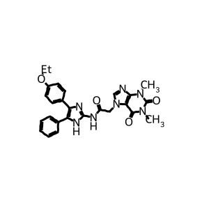 CCOc1ccc(-c2nc(NC(=O)Cn3cnc4c3c(=O)n(C)c(=O)n4C)[nH]c2-c2ccccc2)cc1